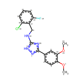 COc1ccc(-c2n[nH]c(NCc3c(F)cccc3Cl)n2)cc1OC